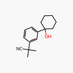 CC(C)(C#N)c1cccc(C2(O)CCCCC2)c1